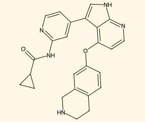 O=C(Nc1cc(-c2c[nH]c3nccc(Oc4ccc5c(c4)CNCC5)c23)ccn1)C1CC1